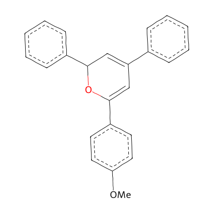 COc1ccc(C2=CC(c3ccccc3)=CC(c3ccccc3)O2)cc1